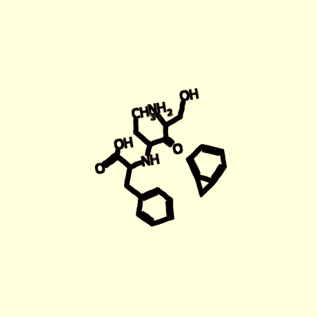 CCC(NC(Cc1ccccc1)C(=O)O)C(=O)C(N)CO.c1ccc2c(c1)C2